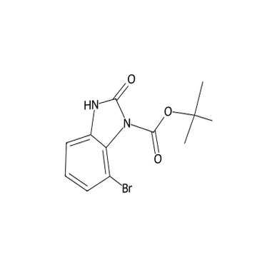 CC(C)(C)OC(=O)n1c(=O)[nH]c2cccc(Br)c21